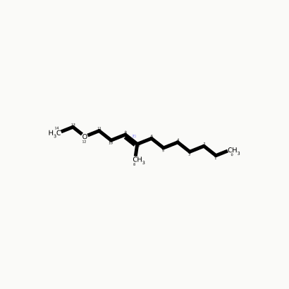 CCCCCCC/C(C)=C/CCOCC